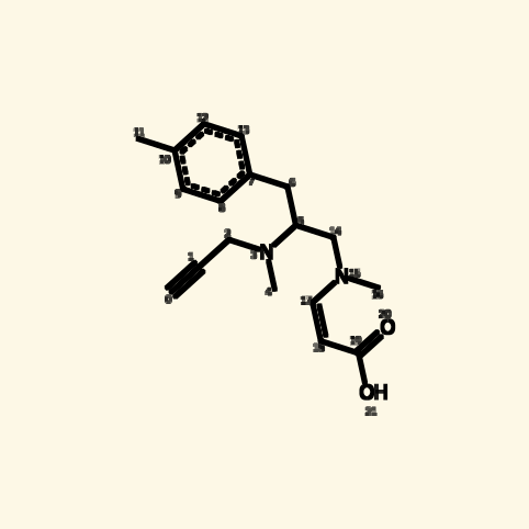 C#CCN(C)C(Cc1ccc(C)cc1)CN(C)/C=C\C(=O)O